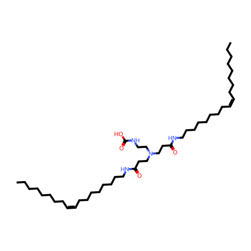 CCCCCCCC/C=C\CCCCCCCCNC(=O)CCN(CCNC(=O)O)CCC(=O)NCCCCCCCC/C=C\CCCCCCCC